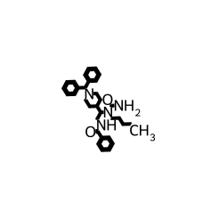 CCCCCN(C(N)=O)C(CNC(=O)c1ccccc1)C1CCN(C(c2ccccc2)c2ccccc2)CC1